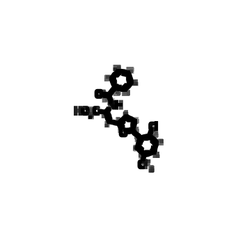 O=C(O)/C(=C/c1ccc(-c2cc(C(F)(F)F)ccc2Cl)o1)NC(=O)c1ccccc1